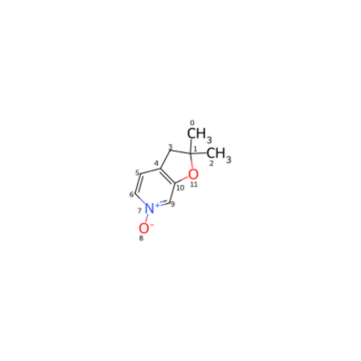 CC1(C)Cc2cc[n+]([O-])cc2O1